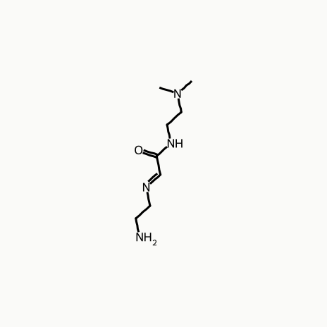 CN(C)CCNC(=O)C=NCCN